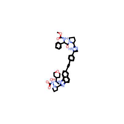 COC(=O)NC(C(=O)N1CCCC1c1ncc(-c2ccc(C#Cc3ccc4c(ccc5nc(C6CCCN6[N+](O)(C(=O)[O-])C(C)C6CCOCC6)[nH]c54)c3)cc2)[nH]1)c1ccccc1